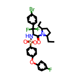 CCC1CCC(CC)N1C(=O)C(NS(=O)(=O)c1ccc(Oc2ccc(F)cc2)cc1)C(F)(F)c1ccc(Br)cc1